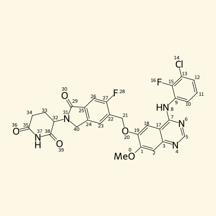 COc1cc2ncnc(Nc3cccc(Cl)c3F)c2cc1OCc1cc2c(cc1F)C(=O)N(C1CCC(=O)NC1=O)C2